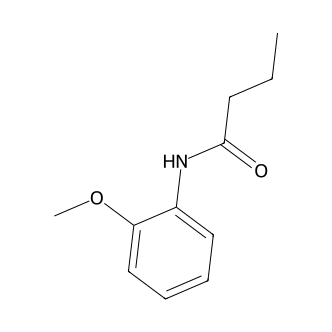 CCCC(=O)Nc1ccccc1OC